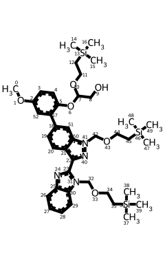 COc1ccc(OC(CO)OCC[Si](C)(C)C)c(-c2ccc3c(-c4nc5ccccc5n4COCC[Si](C)(C)C)nn(COCC[Si](C)(C)C)c3c2)c1